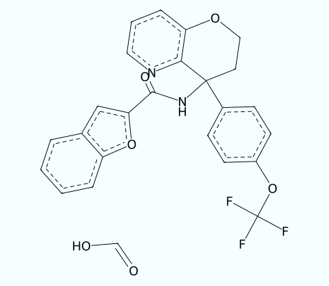 O=C(NC1(c2ccc(OC(F)(F)F)cc2)CCOc2cccnc21)c1cc2ccccc2o1.O=CO